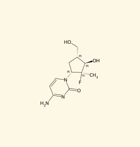 C[C@@]1(F)[C@H](O)[C@@H](CO)C[C@H]1n1ccc(N)nc1=O